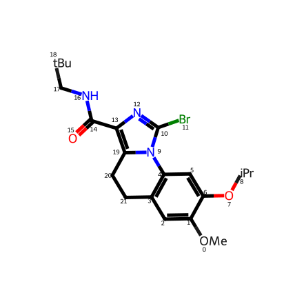 COc1cc2c(cc1OC(C)C)-n1c(Br)nc(C(=O)NCC(C)(C)C)c1CC2